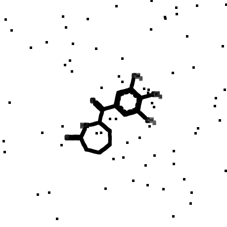 Cc1cc(C(=O)C2CCCCC(=O)N2)cc(C)c1C